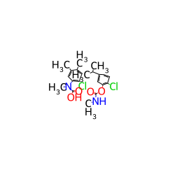 CNC(=O)Oc1cc(C(C)C)ccc1Cl.Cc1cc(Cl)c(N(C)C(=O)O)cc1C